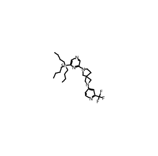 CCC[CH2][Sn]([CH2]CCC)([CH2]CCC)[c]1cncc(N2CCC3(CN(c4ccnc(C(F)(F)F)c4)C3)C2)n1